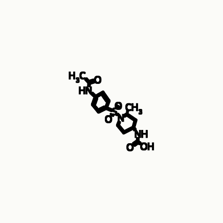 CC(=O)Nc1ccc(S(=O)(=O)N2CCC(NC(=O)O)C[C@@H]2C)cc1